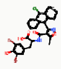 Cc1onc(-c2c3ccccc3c(Cl)c3ccccc23)c1C(=O)NC(Cc1cc(Br)c(O)c(Br)c1)C(=O)O